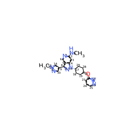 CNc1cc2c(cn1)c(-c1cnn(C)c1)nn2[C@H]1CC[C@@H](Oc2cccnn2)CC1